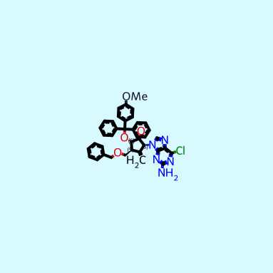 C=C1[C@H](n2cnc3c(Cl)nc(N)nc32)C(=O)[C@@H](OC(c2ccccc2)(c2ccccc2)c2ccc(OC)cc2)[C@@H]1COCc1ccccc1